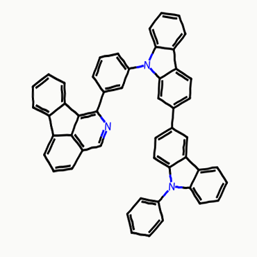 c1ccc(-n2c3ccccc3c3cc(-c4ccc5c6ccccc6n(-c6cccc(-c7ncc8cccc9c8c7-c7ccccc7-9)c6)c5c4)ccc32)cc1